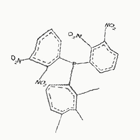 Cc1ccc(P(c2cccc([N+](=O)[O-])c2[N+](=O)[O-])c2cccc([N+](=O)[O-])c2[N+](=O)[O-])c(C)c1C